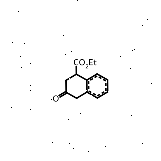 CCOC(=O)C1CC(=O)Cc2ccccc21